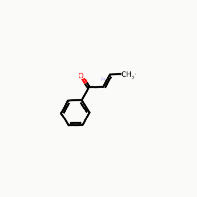 [CH2]/C=C/C(=O)c1ccccc1